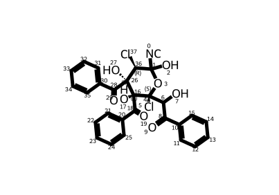 [C-]#[N+]C1(O)O[C@](Cl)(C(O)C(=O)c2ccccc2)[C@](O)(C(=O)c2ccccc2)[C@@](O)(C(=O)c2ccccc2)[C@H]1Cl